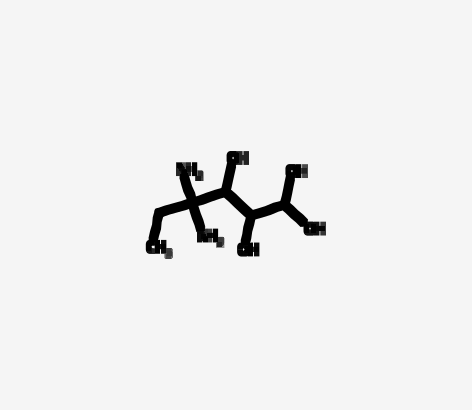 CCC(N)(N)C(O)C(O)C(O)O